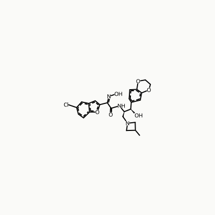 CC1CN(C[C@@H](NC(=O)C(=NO)c2cc3cc(Cl)ccc3o2)[C@H](O)c2ccc3c(c2)OCCO3)C1